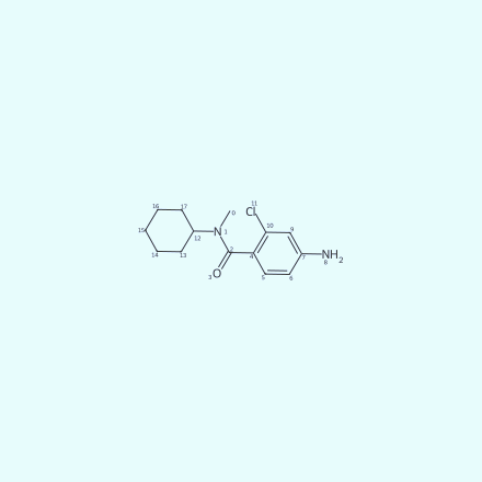 CN(C(=O)c1ccc(N)cc1Cl)C1CCCCC1